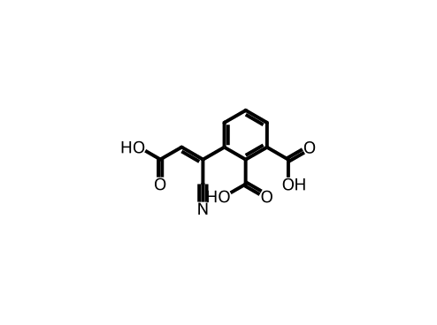 N#CC(=CC(=O)O)c1cccc(C(=O)O)c1C(=O)O